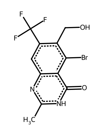 Cc1nc2cc(C(F)(F)F)c(CO)c(Br)c2c(=O)[nH]1